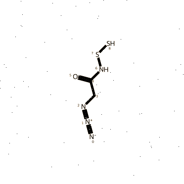 [N-]=[N+]=NCC(=O)NSS